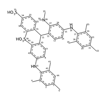 Cc1cc(C)c(Nc2ccc(C(c3ccc(Nc4c(C)cc(C)cc4C)cc3N(C)C)c3ccc(S(=O)(=O)O)cc3S(=O)(=O)O)c(C)c2)c(C)c1